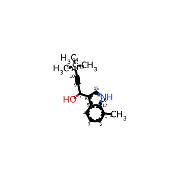 Cc1cccc2c(C(O)C#C[Si](C)(C)C)c[nH]c12